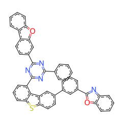 c1ccc(-c2nc(-c3ccc4c(c3)oc3ccccc34)nc(-c3cccc4sc5ccc(-c6cccc(-c7nc8ccccc8o7)c6)cc5c34)n2)cc1